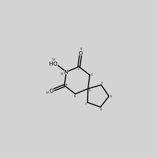 O=C1CC2(CCCC2)CC(=O)N1O